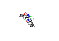 Cc1cn(C(=O)c2c(Cl)ncc(C(=O)OC(C)(C)C)c2Cl)c2c(C)cc(C(F)(F)F)cc12